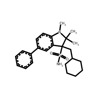 CN1c2ccc(-c3ccccc3)cc2C(CC2CCCCC2)(S(N)(=O)=O)C1(C)C